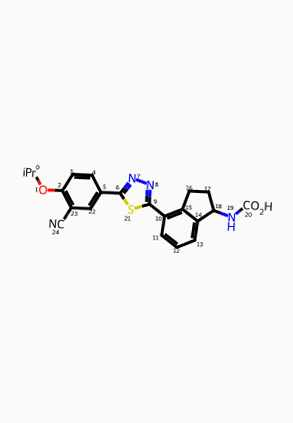 CC(C)Oc1ccc(-c2nnc(-c3cccc4c3CCC4NC(=O)O)s2)cc1C#N